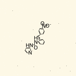 O=C(Nc1cccnc1)Nc1ccccc1Sc1ccc([N+](=O)[O-])cc1